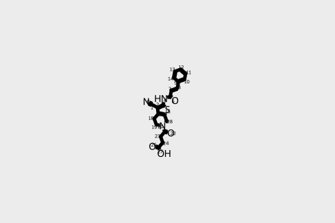 N#Cc1c(NC(=O)C=Cc2ccccc2)sc2c1CCN(C(=O)CCC(=O)O)C2